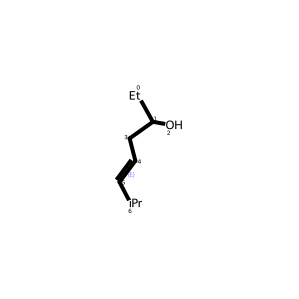 CCC(O)C/C=C/C(C)C